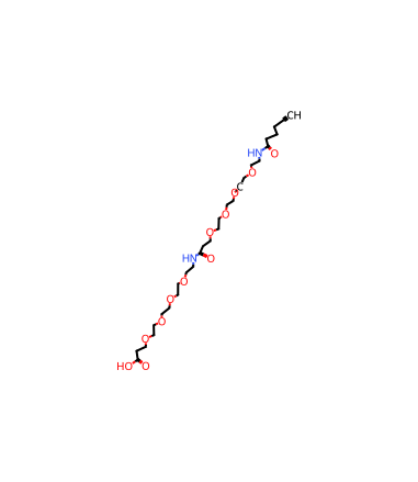 C#CCCCC(=O)NCCOCCOCCOCCOCCC(=O)NCCOCCOCCOCCOCCC(=O)O